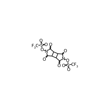 O=C1C2C(C(=O)N1OS(=O)(=O)C(F)(F)F)C1C(=O)N(OS(=O)(=O)C(F)(F)F)C(=O)C21